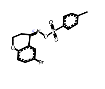 Cc1ccc(S(=O)(=O)O/N=C2/CCOc3ccc(Br)cc32)cc1